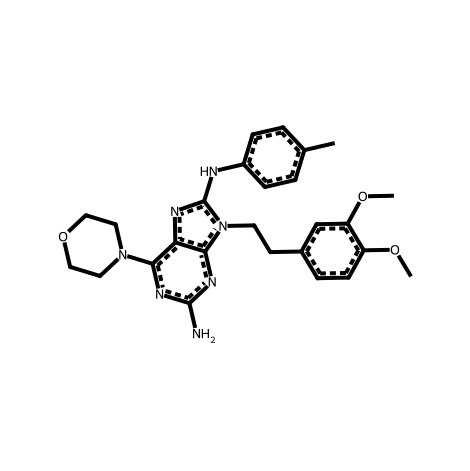 COc1ccc(CCn2c(Nc3ccc(C)cc3)nc3c(N4CCOCC4)nc(N)nc32)cc1OC